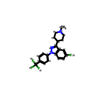 CN1CCC(c2nn(-c3ccc(C(F)(F)F)cc3)c3ccc(F)cc23)CC1